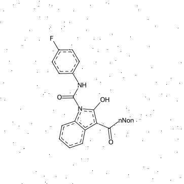 CCCCCCCCCC(=O)c1c(O)n(C(=O)Nc2ccc(F)cc2)c2ccccc12